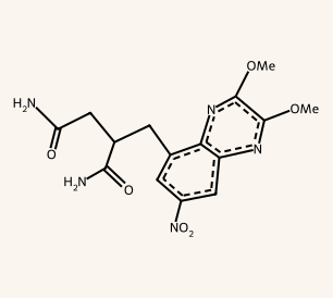 COc1nc2cc([N+](=O)[O-])cc(CC(CC(N)=O)C(N)=O)c2nc1OC